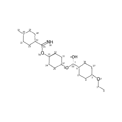 CCOC1CCC([C@@H](O)OC2CCC(OC(=N)C3CCC(C)CC3)CC2)CC1